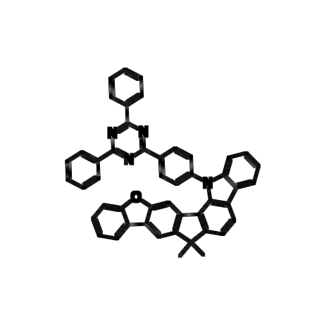 CC1(C)c2cc3c(cc2-c2c1ccc1c4ccccc4n(-c4ccc(-c5nc(-c6ccccc6)nc(-c6ccccc6)n5)cc4)c21)oc1ccccc13